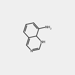 NC1=CC=CC2=CN=CNC12